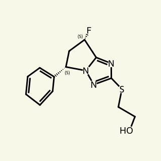 OCCSc1nc2n(n1)[C@H](c1ccccc1)C[C@@H]2F